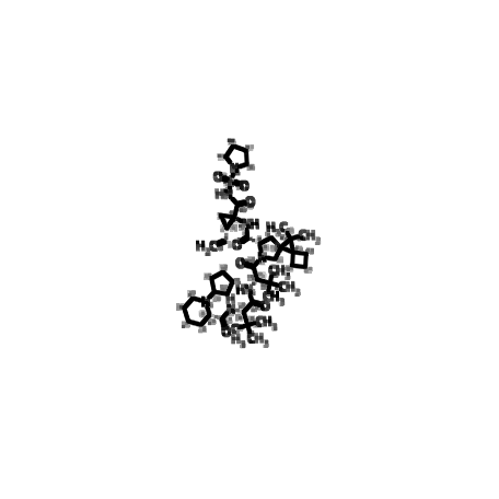 C=C[C@@H]1C[C@]1(NC(=O)[C@@H]1C[C@@]2(CN1C(=O)[C@@H](NC(=O)[C@@H](NC(=O)[C@@H]1CCCCN1C1CCCC1)C(C)(C)C)C(C)(C)C)C(C)(C)C21CCC1)C(=O)NS(=O)(=O)N1CCCC1